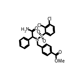 COC(=O)c1ccc(CN(C(C(N)=O)c2ccccc2)S(=O)(=O)c2cccc(Cl)c2Cl)cc1